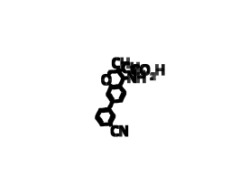 CC1(C)COc2cc(-c3cccc(C#N)c3)ccc2C1NC(=O)O